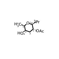 CC(=O)O[C@@H]1C[C@@H](O)[C@@H](C)O[C@H]1C(C)C